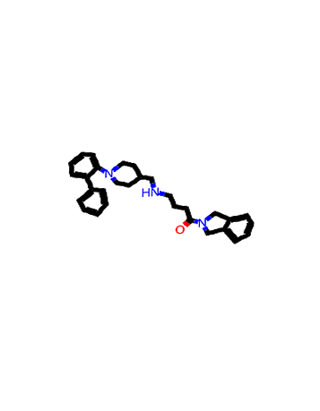 O=C(CCCNCC1CCN(c2ccccc2-c2ccccc2)CC1)N1Cc2ccccc2C1